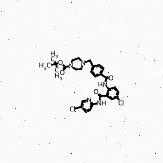 CC(C)(C)OC(=O)N1CCN(Cc2ccc(C(=O)Nc3ccc(Cl)cc3C(=O)Nc3ccc(Cl)cn3)cc2)CC1